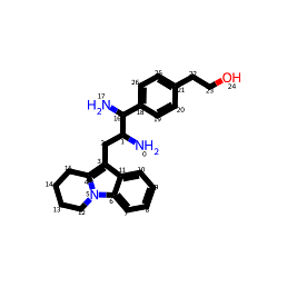 NC(Cc1c2n(c3ccccc13)CCCC2)C(N)c1ccc(CCO)cc1